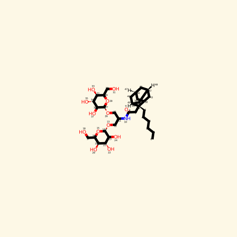 CCCCCC[C@]1(CC(=O)NC(CO[C@H]2OC(CO)[C@H](O)[C@@H](O)C2O)CO[C@H]2OC(CO)[C@H](O)[C@@H](O)C2O)C2C[C@@H]3C[C@H](C2)C[C@@H]1C3